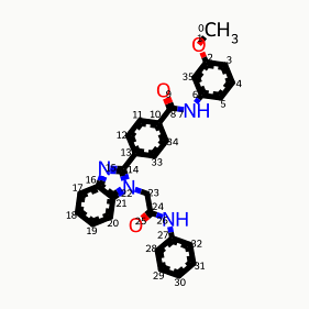 COc1cccc(NC(=O)c2ccc(-c3nc4ccccc4n3CC(=O)Nc3ccccc3)cc2)c1